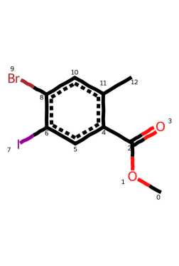 COC(=O)c1cc(I)c(Br)cc1C